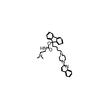 CN(C)CCNC(=O)OC1(CCCCN2CCN(c3ccc4ccccc4n3)CC2)c2ccccc2-c2ccccc21